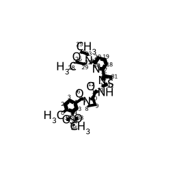 Cc1ccc(C(=O)N2CCC2C(=O)Nc2nc(-c3cccc(N4C[C@@H](C)O[C@@H](C)C4)n3)cs2)cc1S(C)(=O)=O